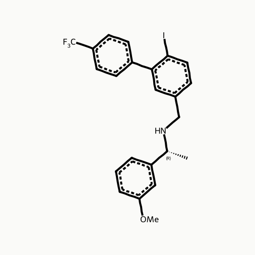 COc1cccc([C@@H](C)NCc2ccc(I)c(-c3ccc(C(F)(F)F)cc3)c2)c1